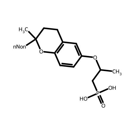 CCCCCCCCCC1(C)CCc2cc(OC(C)CP(=O)(O)O)ccc2O1